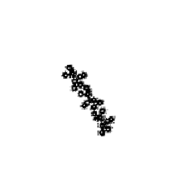 CC1(C)c2ccc(-c3ccc4c(c3)c3ccccc3c3ccc5c(c6cc7ccccc7cc6n5-c5nc(-c6ccccc6)c6c(n5)oc5ccc(-c7ccc8c(c7)c7ccccc7c7ccc9c(c%10cc%11ccccc%11cc%10n9-c9nc(-c%10ccccc%10)c%10c(n9)sc9ccccc9%10)c78)cc56)c34)cc2-c2c(-c3ccccc3)nc(-n3c4cc5ccccc5cc4c4c5c6ccccc6c6ccccc6c5ccc43)nc21